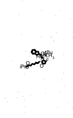 CC(C)OC(=O)CCCC=CC[C@H]1C(=O)C[C@H](F)[C@@H]1C=C[C@@H](O[Si](C)(C)C(C)(C)C)C1Cc2ccccc2C1